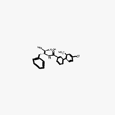 O=C(N[C@H](Cc1ccccc1)[C@@H](O)C(=O)O)c1cccc(-c2ccc(Cl)cc2C(=O)O)c1